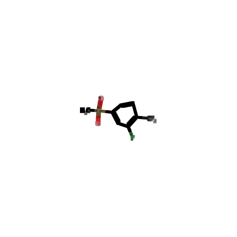 CS(=O)(=O)c1ccc(C(F)(F)F)c(F)c1